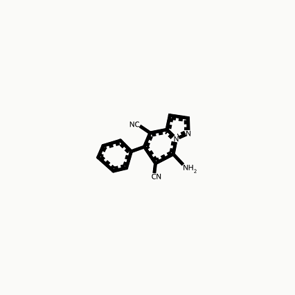 N#Cc1c(-c2ccccc2)c(C#N)c2ccnn2c1N